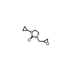 O=C1N(CC2CO2)CCN1C1CC1